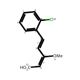 COC(/C=C/c1ccccc1Cl)=C/C(=O)O